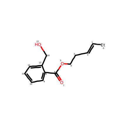 CCC=CCCOC(=O)c1ccccc1CO